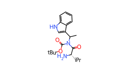 CC(C)[C@H](N)C(=O)N(C(=O)OC(C)(C)C)C(C)c1c[nH]c2ccccc12